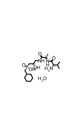 CC(C)[C@H](N)C(=O)N[C@H](C)C(=O)NC[C@H](O)CP(=O)(O)CC1CCCCC1.O